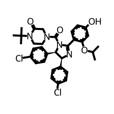 CC(C)Oc1cc(O)ccc1C1=N[C@@H](c2ccc(Cl)cc2)[C@@H](c2ccc(Cl)cc2)N1C(=O)N1CCN(C(C)(C)C)C(=O)C1